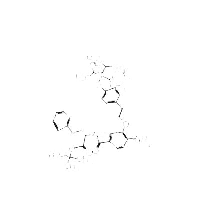 CC(C)[Si](Oc1ccc(CCOc2cc(C(=O)N[C@@H](CCc3ccccc3)C(=O)OC(C)(C)C)ccc2N)cc1)(C(C)C)C(C)C